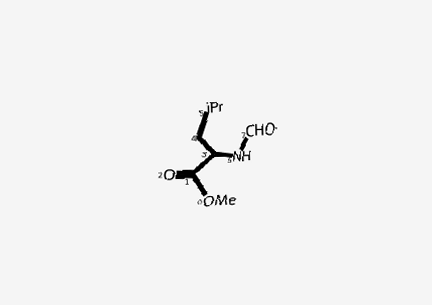 COC(=O)C(CC(C)C)N[C]=O